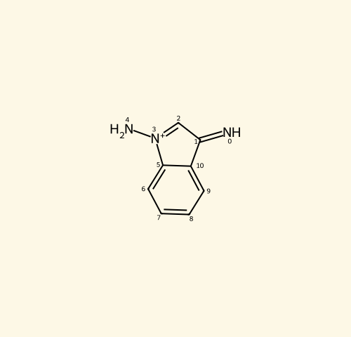 N=C1C=[N+](N)c2ccccc21